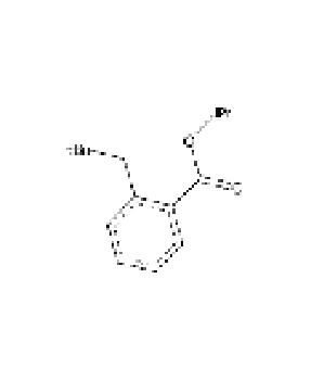 CC(C)OC(=O)c1ccccc1CC(C)(C)C